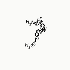 COCCCOc1ccc2ccc(-c3nnc4ccc([C@@H](N5CC[C@H](N)C5)C(F)(F)F)cn34)nc2c1